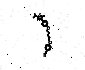 Cc1sc(C(C)C)nc1-c1ccc(OCCCCCOc2ccc(C#N)cc2)cc1